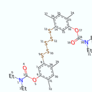 CCN(CC)C(=O)Oc1cc(SSSSSc2cc(OC(=O)N(CC)CC)c(C)cc2C)c(C)cc1C